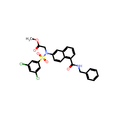 COC(=O)CN(c1ccc2c(C(=O)NCc3ccccc3)cccc2c1)S(=O)(=O)c1cc(Cl)cc(Cl)c1